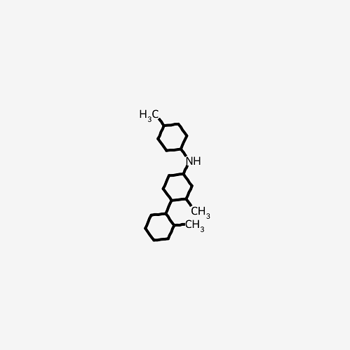 CC1CCC(NC2CCC(C3CCCCC3C)C(C)C2)CC1